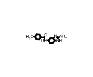 Cc1ccc(C(=O)Nc2ccc3[nH]c(N)nc3c2)cc1